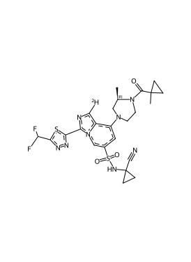 [2H]c1nc(-c2nnc(C(F)F)s2)n2cc(S(=O)(=O)NC3(C#N)CC3)cc(N3CCN(C(=O)C4(C)CC4)[C@H](C)C3)c12